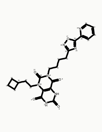 O=c1[nH]c(=O)c2c([nH]1)c(=O)n(CCCCc1noc(-c3ccccn3)n1)c(=O)n2CCC1CCC1